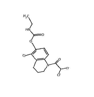 CCNC(=O)Oc1ccc2c(c1Cl)CCCN2C(=O)C(Cl)Cl